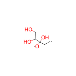 [CH2]CC([O])(O)C(O)CO